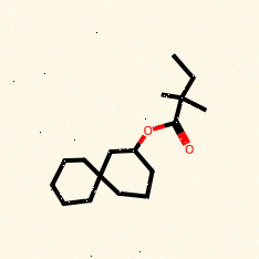 CCC(C)(C)C(=O)OC1CCCC2(CCCCC2)C1